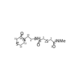 CNC(=O)CSCC(=O)NCCN1CCSCC1=O